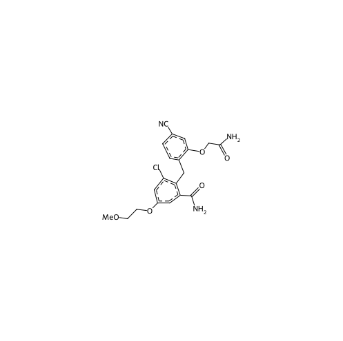 COCCOc1cc(Cl)c(Cc2ccc(C#N)cc2OCC(N)=O)c(C(N)=O)c1